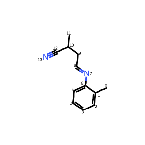 Cc1ccccc1N=CCC(C)C#N